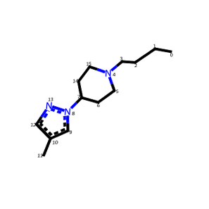 CCCCN1CCC(n2cc(C)cn2)CC1